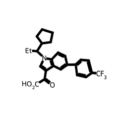 CCC(C1CCCC1)n1cc(C(=O)C(=O)O)c2cc(-c3ccc(C(F)(F)F)cc3)ccc21